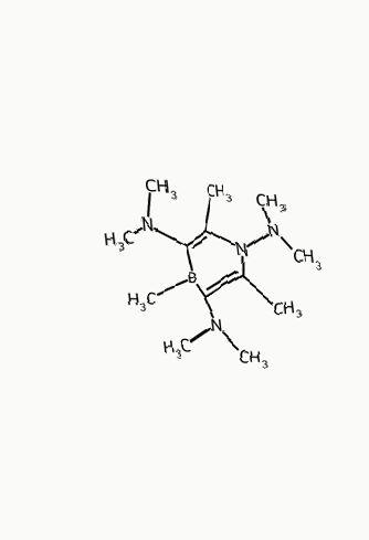 CB1C(N(C)C)=C(C)N(N(C)C)C(C)=C1N(C)C